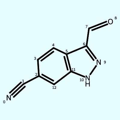 N#Cc1ccc2c(C=O)n[nH]c2c1